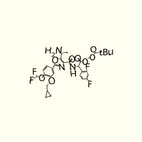 C[C@H](N)c1oc(-c2ccc(OC(F)F)c(OCC3CC3)c2)nc1C(=O)NC(C(=O)OCOC(=O)C(C)(C)C)c1ccc(F)cc1F